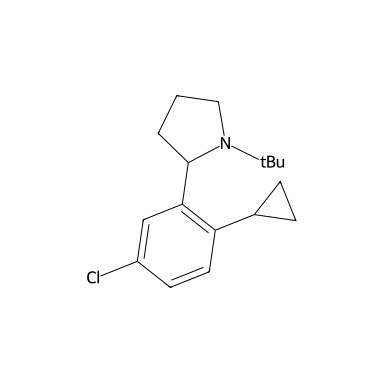 CC(C)(C)N1CCCC1c1cc(Cl)ccc1C1CC1